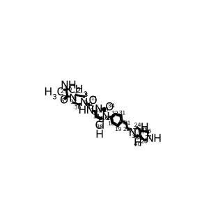 CC(C)(N)C(=O)N1CCN(C(=O)Nc2ccn(-c3ccc(CCN4C[C@H]5CNC[C@H]5C4)cc3)c(=O)n2)CC1.Cl